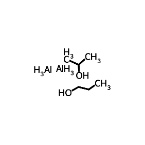 CC(C)O.CCCO.[AlH3].[AlH3]